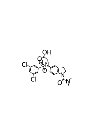 CN(C)C(=O)N1CCc2cc(N(CC(=O)O)S(=O)(=O)c3cc(Cl)cc(Cl)c3)ccc21